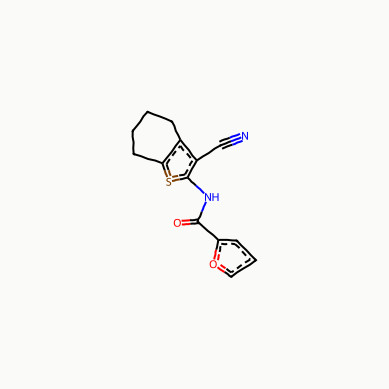 N#Cc1c(NC(=O)c2ccco2)sc2c1CCCC2